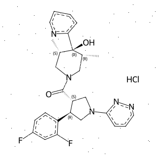 C[C@@H]1CN(C(=O)[C@@H]2CN(c3cccnn3)C[C@H]2c2ccc(F)cc2F)C[C@H](C)[C@]1(O)c1ccccn1.Cl